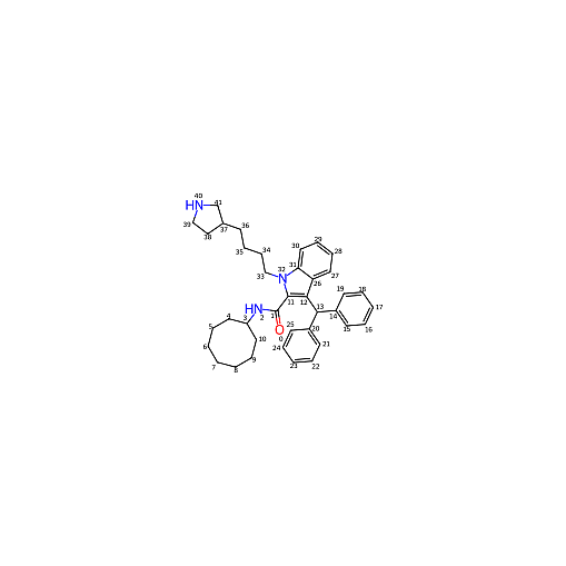 O=C(NC1CCCCCCC1)c1c(C(c2ccccc2)c2ccccc2)c2ccccc2n1CCCCC1CCNC1